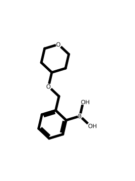 OB(O)c1ccccc1COC1CCOCC1